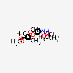 COC(=O)c1cc(C)c2c(c1C)OC(C)([C@H]1CC[C@H](NC(=O)OC(C)(C)C)CC1)O2